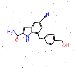 N#Cc1cc(Cc2ccc(CO)cc2)c2[nH]c(C(N)=O)cc2c1